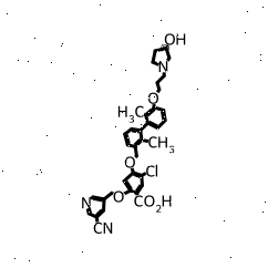 Cc1c(COc2cc(OCc3cncc(C#N)c3)c(C(=O)O)cc2Cl)cccc1-c1cccc(OCCCN2CC[C@@H](O)C2)c1C